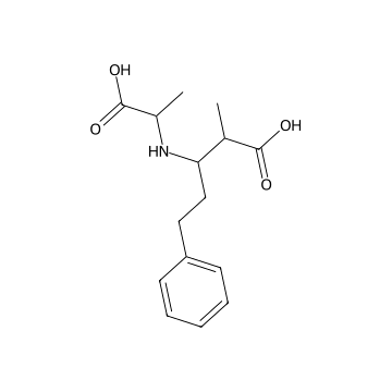 CC(NC(CCc1ccccc1)C(C)C(=O)O)C(=O)O